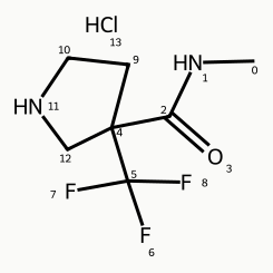 CNC(=O)C1(C(F)(F)F)CCNC1.Cl